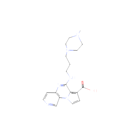 CN1CCN(CCCNc2nc3ccncc3n3ccc(C(=O)O)c23)CC1